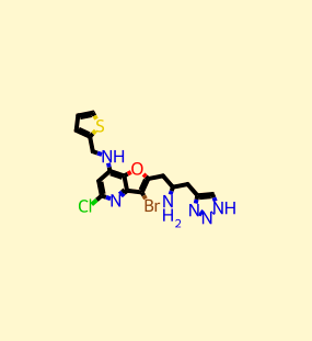 NC(Cc1c[nH]nn1)Cc1oc2c(NCc3cccs3)cc(Cl)nc2c1Br